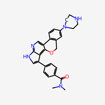 CN(C)C(=O)c1ccc(-c2c[nH]c3ncc4c(c23)OCc2cc(N3CCNCC3)ccc2-4)cc1